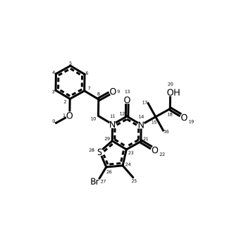 COc1ccccc1C(=O)Cn1c(=O)n(C(C)(C)C(=O)O)c(=O)c2c(C)c(Br)sc21